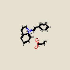 C(=C\[n+]1cccc2ccccc21)/c1ccccc1.C=CC(=O)[O-]